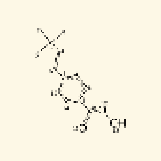 CC(C)(C)C=Cc1ccc(C(=O)OO)cc1